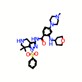 CN1CCN(c2ccc(C(=O)Nc3nn(S(=O)(=O)c4ccccc4)c4c3CNCC4(C)C)c(NC3CCOCC3)c2)CC1